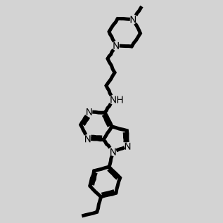 CCc1ccc(-n2ncc3c(NCCCN4CCN(C)CC4)ncnc32)cc1